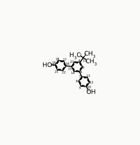 CC(C)(C)c1cc(-c2ccc(O)cc2)cc(-c2ccc(O)cc2)c1